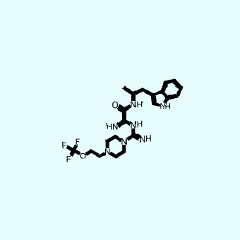 CC(Cc1c[nH]c2ccccc12)NC(=O)C(=N)NC(=N)N1CCN(CCOC(F)(F)F)CC1